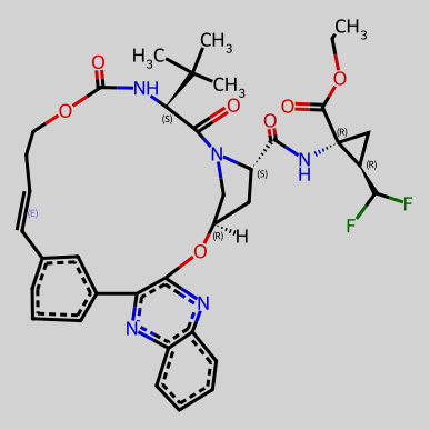 CCOC(=O)[C@@]1(NC(=O)[C@@H]2C[C@@H]3CN2C(=O)[C@H](C(C)(C)C)NC(=O)OCC/C=C/c2cccc(c2)-c2nc4ccccc4nc2O3)C[C@H]1C(F)F